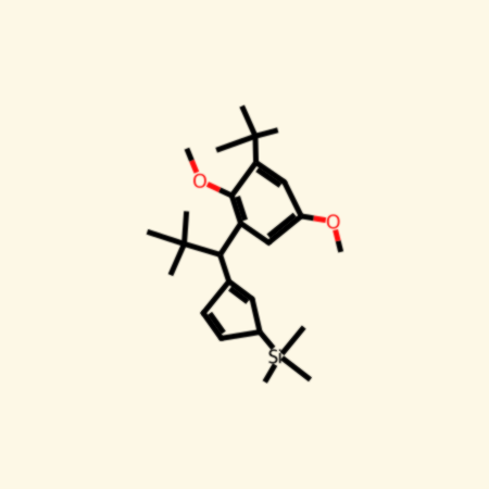 COc1cc(C(C2=CC([Si](C)(C)C)C=C2)C(C)(C)C)c(OC)c(C(C)(C)C)c1